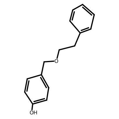 Oc1ccc(COCCc2ccccc2)cc1